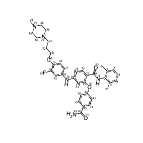 Cc1cccc(C)c1NC(=O)c1cnc(Nc2ccc(OCCCN3CCN(C)CC3)c(F)c2)nc1Oc1ccc(C(N)=O)cc1